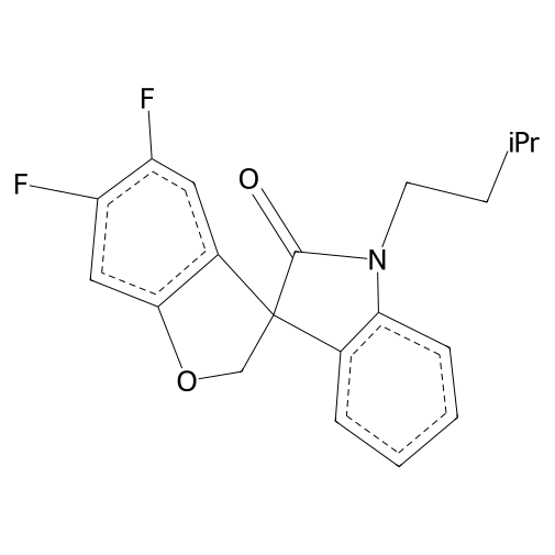 CC(C)CCN1C(=O)C2(COc3cc(F)c(F)cc32)c2ccccc21